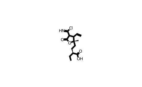 C=CC1C(C(=N)Cl)C(=O)O[C@@]1(C)CC[C@H](CC)C(=O)O